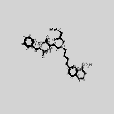 COCC(F)CN(CCCCc1ccc2c(n1)N(C(=O)O)CCC2)CCC(NC(=O)OCc1ccccc1)C(=O)OC